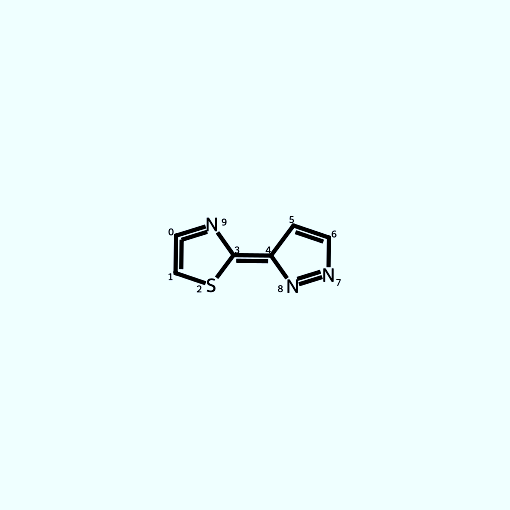 C1=CSC(=C2C=CN=N2)N=1